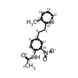 CC(=O)Nc1ccc(CCc2ncccc2C)cc1[N+](=O)[O-]